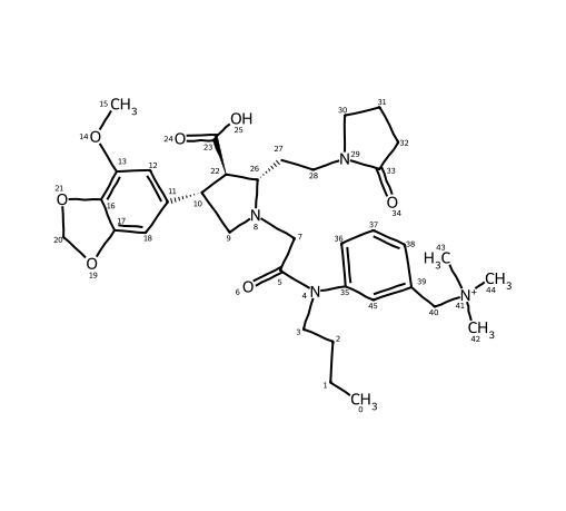 CCCCN(C(=O)CN1C[C@H](c2cc(OC)c3c(c2)OCO3)[C@@H](C(=O)O)[C@@H]1CCN1CCCC1=O)c1cccc(C[N+](C)(C)C)c1